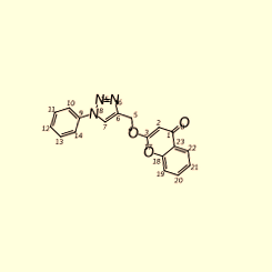 O=c1cc(OCc2cn(-c3ccccc3)nn2)oc2ccccc12